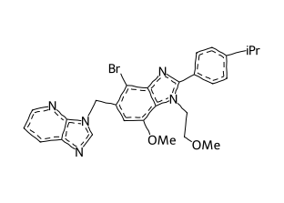 COCCn1c(-c2ccc(C(C)C)cc2)nc2c(Br)c(Cn3cnc4cccnc43)cc(OC)c21